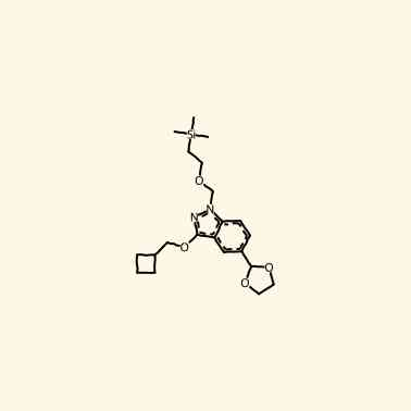 C[Si](C)(C)CCOCn1nc(OCC2CCC2)c2cc(C3OCCO3)ccc21